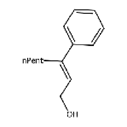 CCCCCC(=CCO)c1ccccc1